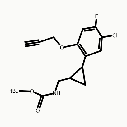 C#CCOc1cc(F)c(Cl)cc1C1CC1CNC(=O)OC(C)(C)C